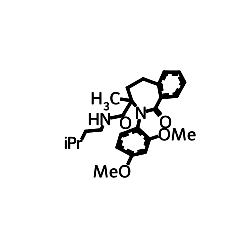 COc1ccc(N2C(=O)c3ccccc3CCC2(C)C(=O)NCCC(C)C)c(OC)c1